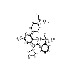 CC(=O)N1CCN(c2nc(C)nc3c2nc(-c2ccccc2C(F)(F)F)n3C2CCOC2)CC1.Cl